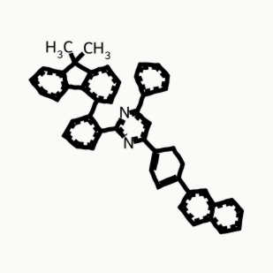 CC1(C)c2ccccc2-c2c(-c3ccccc3-c3nc(C4=CC=C(c5ccc6ccccc6c5)CC4)cc(-c4ccccc4)n3)cccc21